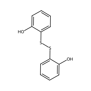 Oc1ccccc1SSc1ccccc1O